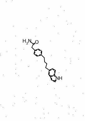 NC(=O)Cc1ccc(CCCCc2ccc3[nH]ccc3c2)cc1